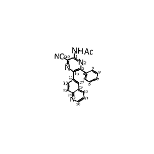 CC(=O)Nc1nc(-c2ccccc2)c(-c2ccc3ncccc3c2)nc1C#N